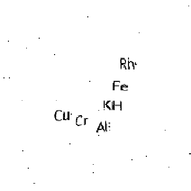 [Al].[Cr].[Cu].[Fe].[KH].[Rh]